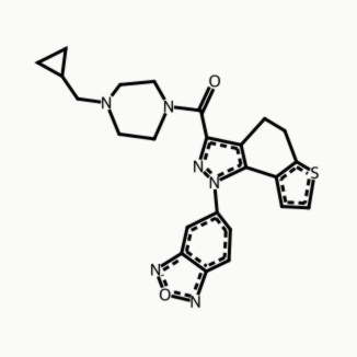 O=C(c1nn(-c2ccc3nonc3c2)c2c1CCc1sccc1-2)N1CCN(CC2CC2)CC1